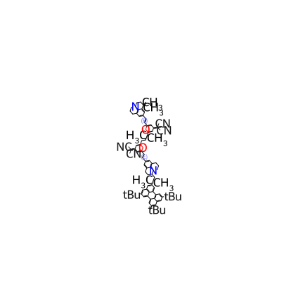 CC(C)(CCC1=CC(=C(C#N)C#N)C=C(/C=C/c2cc3c4c(c2)CCC(CC(C)(C)c2cc5cc(C(C)(C)C)cc6c7cc(C(C)(C)C)cc8cc(C(C)(C)C)cc(c(c2)c56)c87)N4CCC3)O1)C1=CC(=C(C#N)C#N)C=C(/C=C/c2cc3c4c(c2)C(C)(C)CCN4CCC3)O1